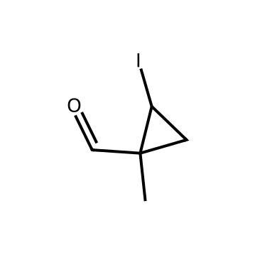 CC1(C=O)CC1I